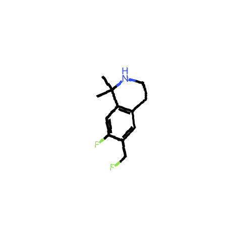 CC1(C)NCCc2cc(CF)c(F)cc21